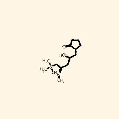 C=C=C(CC(O)CC1CCCC1=O)C[Si](C)(C)C